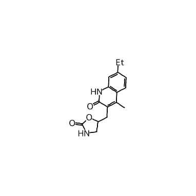 CCc1ccc2c(C)c(CC3CNC(=O)O3)c(=O)[nH]c2c1